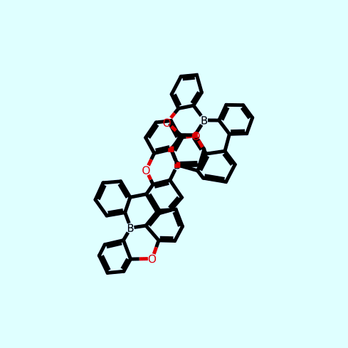 c1ccc2c(c1)Oc1ccccc1B2c1ccccc1-c1cccc2c1Oc1cccc3c1B2c1cccc(-c2ccccc2B2c4ccccc4Oc4ccccc42)c1O3